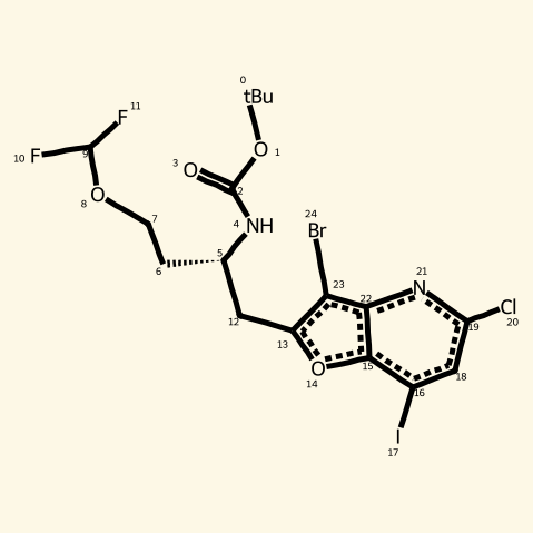 CC(C)(C)OC(=O)N[C@@H](CCOC(F)F)Cc1oc2c(I)cc(Cl)nc2c1Br